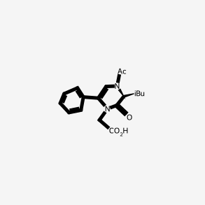 CC[C@H](C)[C@H]1C(=O)N(CC(=O)O)C(c2ccccc2)=CN1C(C)=O